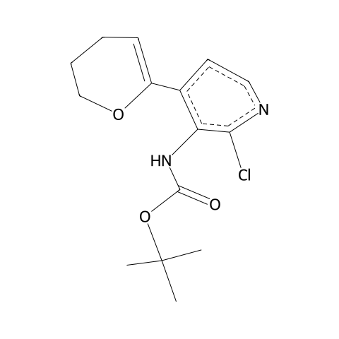 CC(C)(C)OC(=O)Nc1c(C2=CCCCO2)ccnc1Cl